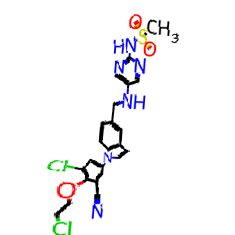 CS(=O)(=O)Nc1ncc(NCc2ccc3c(ccn3-c3cc(Cl)c(OCCCl)c(C#N)c3)c2)cn1